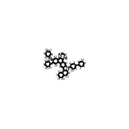 c1ccc(-c2ccc(-n3c4cc5c(cc4c4c6ccccc6ccc43)c3cc4c6ccccc6n(-c6ccccc6)c4cc3c3nccnc53)cc2)cc1